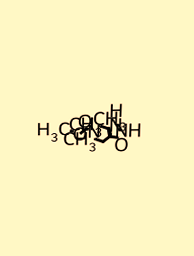 CC1c2[nH][nH]c(=O)c2CCN1C(=O)OC(C)(C)C